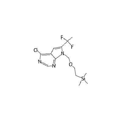 CC(F)(F)c1cc2c(Cl)ncnc2n1COCC[Si](C)(C)C